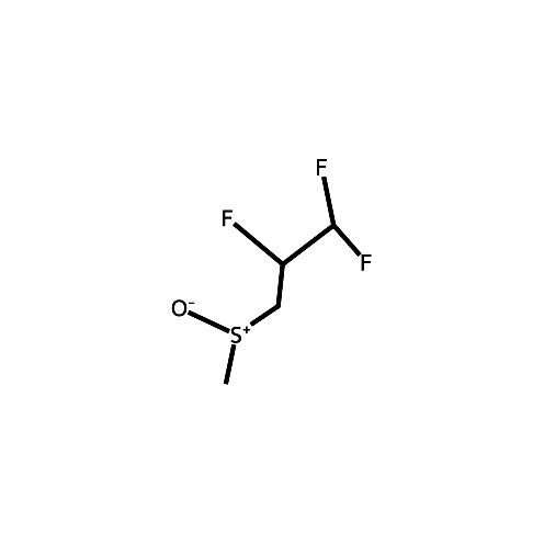 C[S+]([O-])CC(F)C(F)F